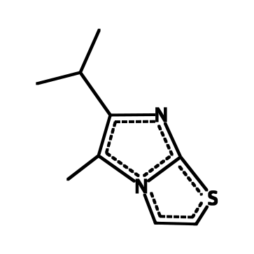 Cc1c(C(C)C)nc2sccn12